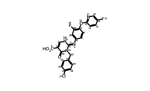 O=C(O)c1c[nH]/c(=N\c2ccc(Oc3ccc(F)cn3)c(F)c2)n(Cc2ccc(Cl)cc2)c1=O